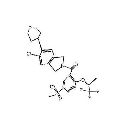 C[C@H](Oc1ccc(S(C)(=O)=O)cc1C(=O)N1Cc2cc(Cl)c(C3CCOCC3)cc2C1)C(F)(F)F